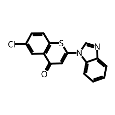 O=c1cc(-n2cnc3ccccc32)sc2ccc(Cl)cc12